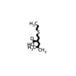 CCCSCCC(CC(C)C)C(=O)O